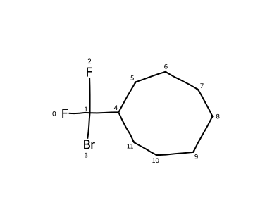 FC(F)(Br)C1CCCCCCC1